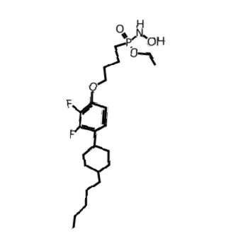 CCCCCC1CCC(c2ccc(OCCCCP(=O)(NO)OCC)c(F)c2F)CC1